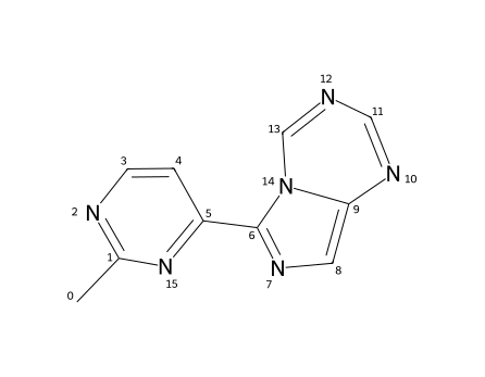 Cc1nccc(-c2ncc3ncncn23)n1